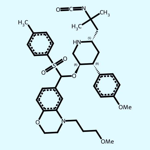 COCCCN1CCOc2ccc(C(O[C@H]3CN[C@H](CC(C)(C)N=C=O)C[C@@H]3c3ccc(OC)cc3)S(=O)(=O)c3ccc(C)cc3)cc21